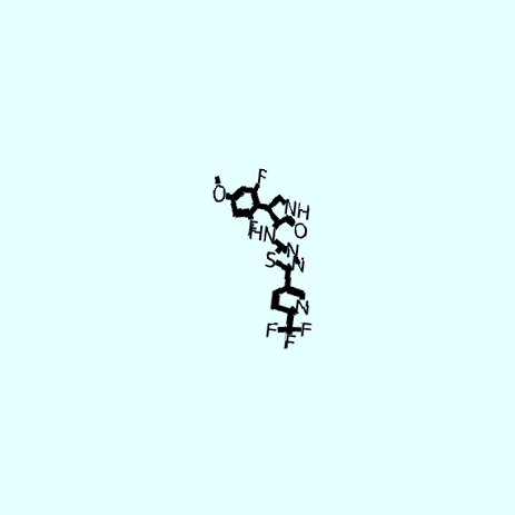 COc1cc(F)c(C2CNC(=O)C2Nc2nnc(-c3ccc(C(F)(F)F)nc3)s2)c(F)c1